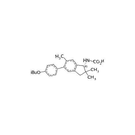 Cc1cc2c(cc1-c1ccc(OCC(C)C)cc1)CC(C)(C)[C@H]2NC(=O)O